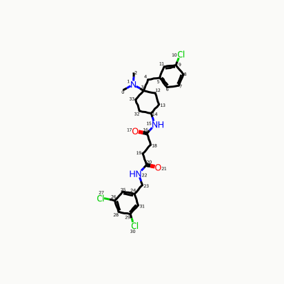 CN(C)C1(Cc2cccc(Cl)c2)CCC(NC(=O)CCC(=O)NCc2cc(Cl)cc(Cl)c2)CC1